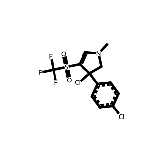 CN1C=C(S(=O)(=O)C(F)(F)F)C(Cl)(c2ccc(Cl)cc2)C1